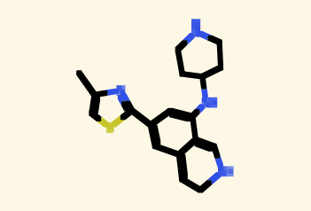 Cc1csc(-c2cc(NC3CCNCC3)c3c(c2)=CCNC=3)n1